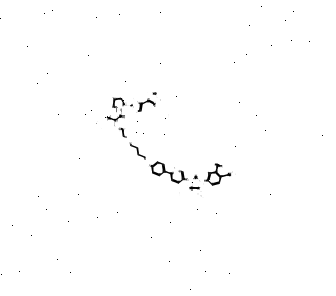 Cc1ncsc1-c1csc([C@@H]2C[C@@H](O)CN2C(=O)[C@@H](NC(=O)COCCCCOc2ccc(-c3ccc(N4C(=S)N(c5ccc(C#N)c(C(F)(F)F)c5F)C(=O)C4(C)C)cn3)cc2)C(C)(C)C)n1